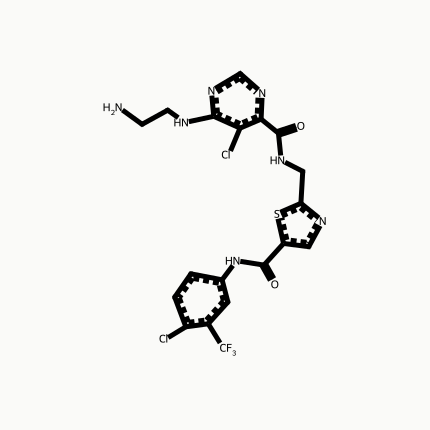 NCCNc1ncnc(C(=O)NCc2ncc(C(=O)Nc3ccc(Cl)c(C(F)(F)F)c3)s2)c1Cl